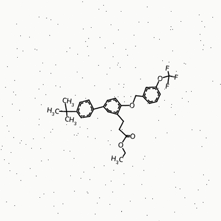 CCOC(=O)CCc1cc(-c2ccc(C(C)(C)C)cc2)ccc1OCc1cccc(OC(F)(F)F)c1